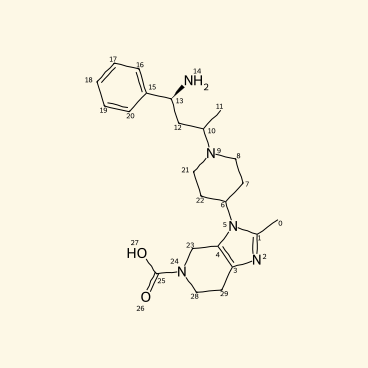 Cc1nc2c(n1C1CCN(C(C)C[C@H](N)c3ccccc3)CC1)CN(C(=O)O)CC2